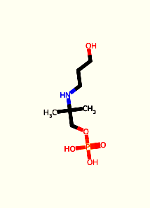 CC(C)(COP(=O)(O)O)NCCCO